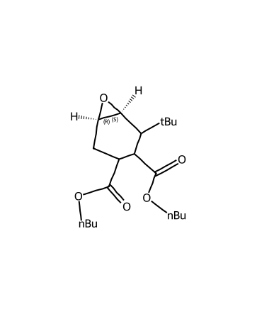 CCCCOC(=O)C1C[C@H]2O[C@H]2C(C(C)(C)C)C1C(=O)OCCCC